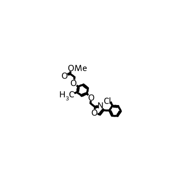 COC(=O)COc1ccc(OCc2nc(-c3ccccc3Cl)co2)cc1C